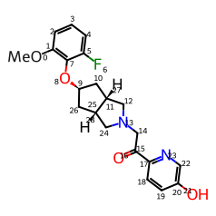 COc1cccc(F)c1O[C@H]1C[C@@H]2CN(CC(=O)c3ccc(O)cn3)C[C@@H]2C1